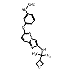 CC(C)(Nc1cn2nc(Oc3cccc(NC=O)c3)ccc2n1)C1COC1